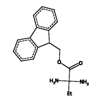 CCC(N)(N)C(=O)OCC1c2ccccc2-c2ccccc21